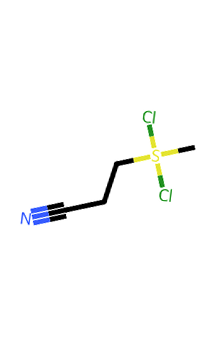 CS(Cl)(Cl)CCC#N